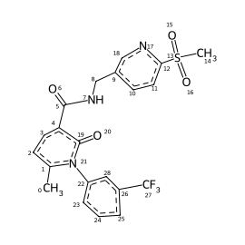 Cc1ccc(C(=O)NCc2ccc(S(C)(=O)=O)nc2)c(=O)n1-c1cccc(C(F)(F)F)c1